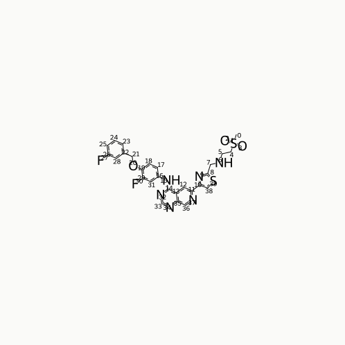 CS(=O)(=O)CCNCc1nc(-c2cc3c(Nc4ccc(OCc5cccc(F)c5)c(F)c4)ncnc3cn2)cs1